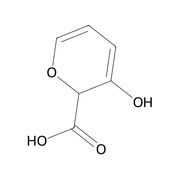 O=C(O)C1OC=CC=C1O